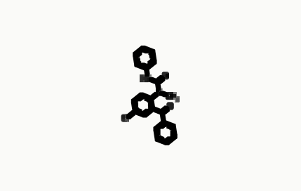 CN(C(=O)Nc1ccccc1)c1ccc(Cl)cc1C(=O)c1ccccc1